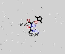 COC(=O)[C@H](COC1C(C)CCC1C)NC(=O)[C@@H](N)CC(=O)O